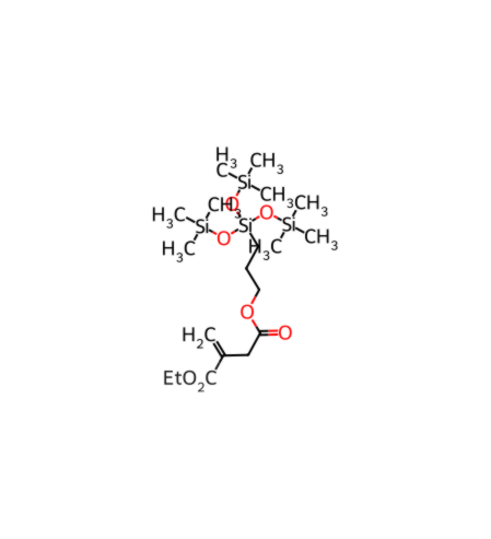 C=C(CC(=O)OCCC[Si](O[Si](C)(C)C)(O[Si](C)(C)C)O[Si](C)(C)C)C(=O)OCC